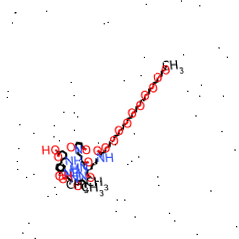 COCCOCCOCCOCCOCCOCCOCCOCCOCCOCC(=O)NCCCC[C@H](NC(=O)CCCN1C(=O)C=CC1=O)C(=O)N[C@H](C(=O)N[C@@H](C)C(=O)Nc1cc(C[C@H](N)CCC(=O)O)ccc1O)C(C)C